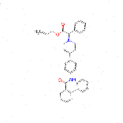 C=CCOC(=O)C(c1ccccc1)N1CC=C(c2ccc(NC(=O)c3ccccc3-c3ccccc3)cc2)CC1